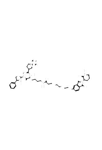 CS(=O)(=O)N1CCC(C(=O)N[C@@H](CCCCNC(=O)CCOCCOCCOc2ccc3c(c2)C(=O)N(C2CCC(=O)NC2=O)C3=O)C(=O)NC2NC(c3ccccc3)CS2)C1